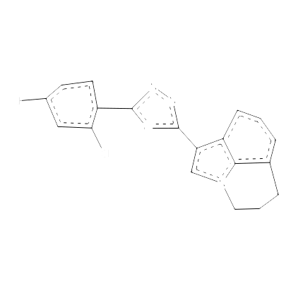 Clc1ccc(-c2nnc(-c3cn4c5c(cccc35)CCC4)o2)c(Cl)c1